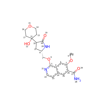 CC(C)Oc1cc2c(OC[C@@H]3CC(C4(O)CCOCC4)C(=O)N3)nccc2cc1C(N)=O